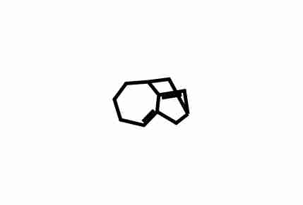 C1=C2CC3C=C2C(CCC1)C3